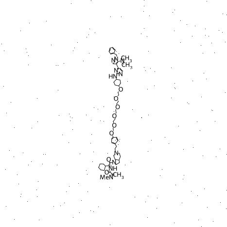 CN[C@@H](C)C(=O)N[C@H](C(=O)N1CCC2CCN(CCc3ccc(OCCOCCOCCOCCOCCOC4CCC(Nc5nccc(-c6cnn(Cc7ccccc7)c6N(C)C)n5)CC4)cc3)CC21)C1CCCCC1